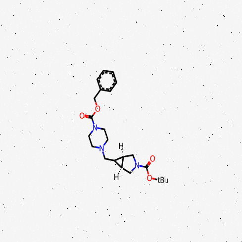 CC(C)(C)OC(=O)N1C[C@@H]2C(CN3CCN(C(=O)OCc4ccccc4)CC3)[C@@H]2C1